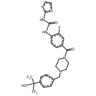 O=C(Nc1nccs1)Nc1ccc(C(=O)N2CCN(Cc3ccc(C(O)(C(F)(F)F)C(F)(F)F)cc3)CC2)cc1F